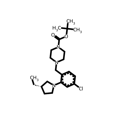 CC[C@H]1CCN(c2cc(Cl)ccc2CN2CCN(C(=O)OC(C)(C)C)CC2)C1